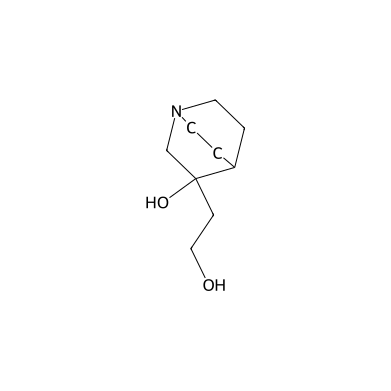 OCCC1(O)CN2CCC1CC2